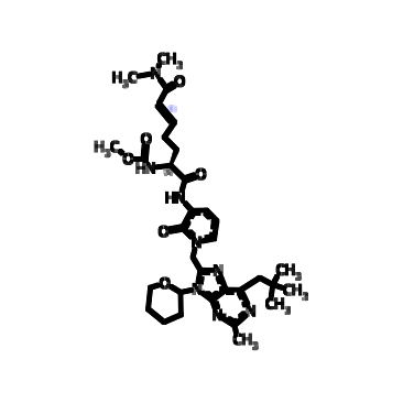 COC(=O)N[C@@H](CC/C=C/C(=O)N(C)C)C(=O)Nc1cccn(Cc2nc3c(CC(C)(C)C)nc(C)nc3n2C2CCCCO2)c1=O